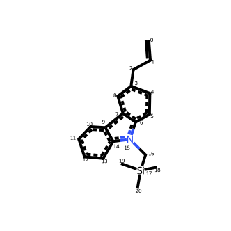 C=CCc1ccc2c(c1)c1ccccc1n2C[Si](C)(C)C